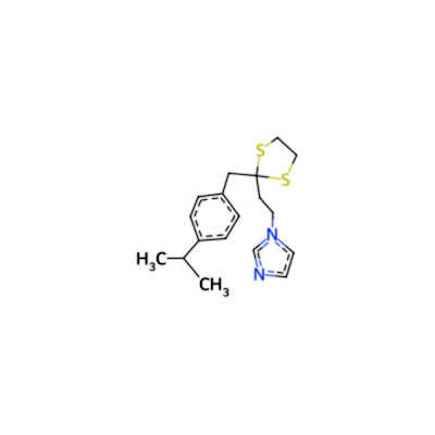 CC(C)c1ccc(CC2(CCn3ccnc3)SCCS2)cc1